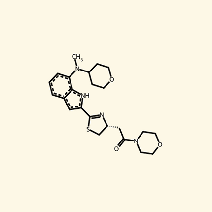 CN(c1cccc2cc(C3=N[C@H](CC(=O)N4CCOCC4)CS3)[nH]c12)C1CCOCC1